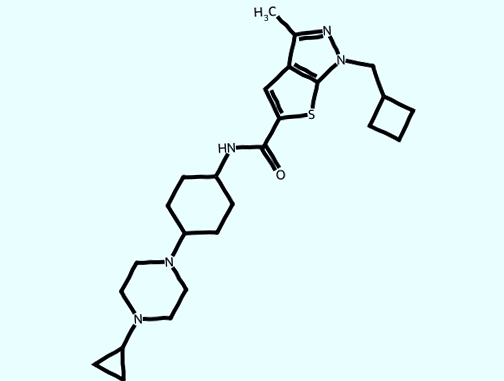 Cc1nn(CC2CCC2)c2sc(C(=O)NC3CCC(N4CCN(C5CC5)CC4)CC3)cc12